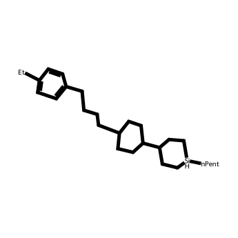 CCCCC[SiH]1CCC(C2CCC(CCCCc3ccc(CC)cc3)CC2)CC1